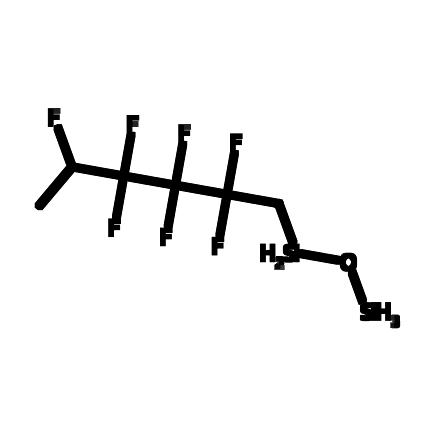 CC(F)C(F)(F)C(F)(F)C(F)(F)C[SiH2]O[SiH3]